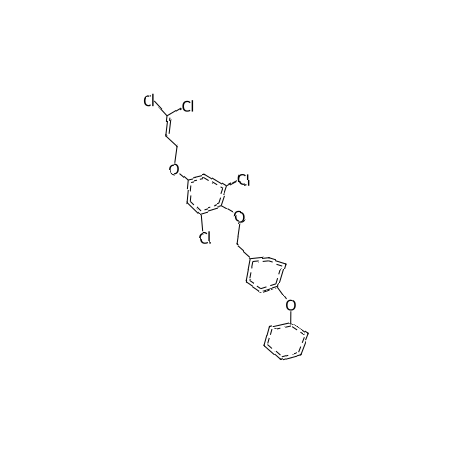 ClC(Cl)=CCOc1cc(Cl)c(OCc2ccc(Oc3ccccc3)cc2)c(Cl)c1